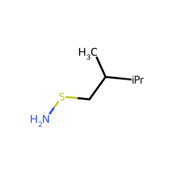 CC(C)C(C)CSN